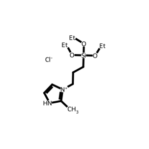 CCO[Si](CCC[n+]1cc[nH]c1C)(OCC)OCC.[Cl-]